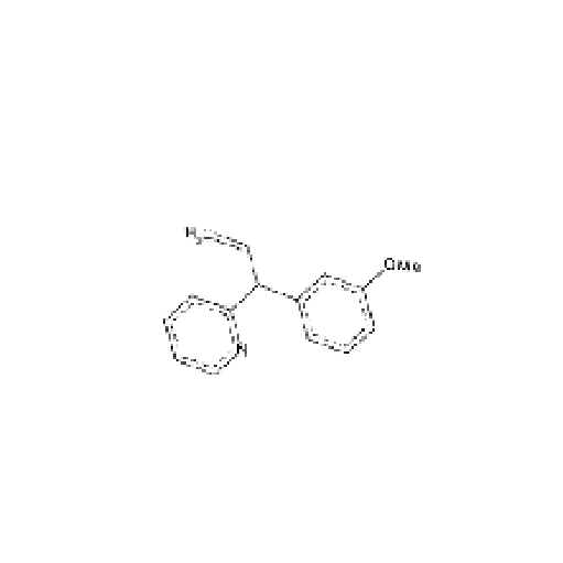 C=CC(c1cccc(OC)c1)c1ccccn1